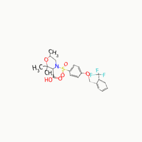 CC1CN(S(=O)(=O)c2ccc(OCc3ccccc3C(F)(F)F)cc2)C(C(=O)O)C(C)(C)O1